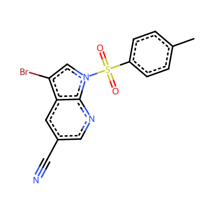 Cc1ccc(S(=O)(=O)n2cc(Br)c3cc(C#N)cnc32)cc1